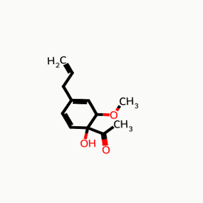 C=CCC1=CC(OC)C(O)(C(C)=O)C=C1